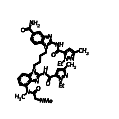 CCn1nc(C)cc1C(=O)Nc1nc2cc(C(N)=O)ccc2n1CCCCn1c(NC(=O)c2cc(C)nn2CC)nc2c(N(C)C(=O)CNC)cccc21